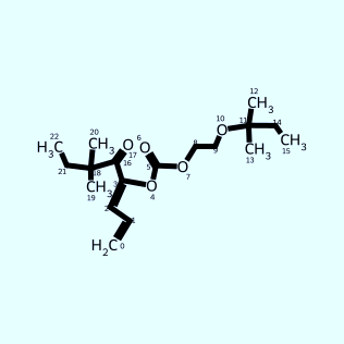 C=C/C=C(\OC(=O)OCCOC(C)(C)CC)C(=O)C(C)(C)CC